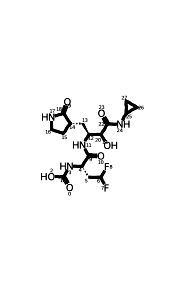 O=C(O)N[C@@H](CC(F)F)C(=O)N[C@@H](C[C@@H]1CCNC1=O)C(O)C(=O)NC1CC1